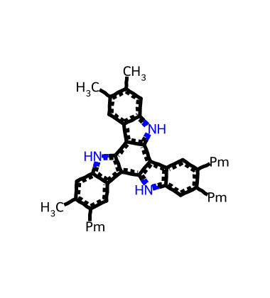 Cc1cc2[nH]c3c(c2cc1C)c1[nH]c2cc(C)[c]([Pm])cc2c1c1[nH]c2c[c]([Pm])[c]([Pm])cc2c31